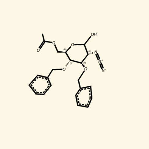 CC(=O)OC[C@H]1OC(O)[C@H](N=[N+]=[N-])[C@@H](OCc2ccccc2)[C@@H]1OCc1ccccc1